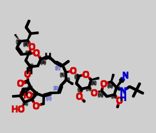 CCC(C)[C@H]1O[C@]2(C=C[C@@H]1C)C[C@@H]1C[C@@H](C/C=C(\C)[C@@H](O[C@H]3C[C@H](OC)[C@@H](O[C@H]4C[C@H](OC)[C@@](C#N)(NCC(C)(C)C)[C@H](C)O4)[C@H](C)O3)[C@@H](C)/C=C/C=C3\COC4[C@H](O)C(C)=C[C@@H](C(=O)O1)[C@]34O)O2